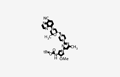 CO[C@H]1CN(c2cc(C)nc(N3CCN(C[C@H]4CN(c5ccc(C#N)c6nccnc56)C[C@@H](C)O4)CC3)n2)C[C@@H]1NC(=O)OC(C)(C)C